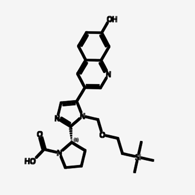 C[Si](C)(C)CCOCn1c(-c2cnc3cc(O)ccc3c2)cnc1[C@@H]1CCCN1C(=O)O